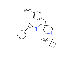 COc1ccc(CC2(CN[C@@H]3C[C@@H]3c3ccccc3)CCN(CC3(C(=O)O)CCC3)CC2)cc1